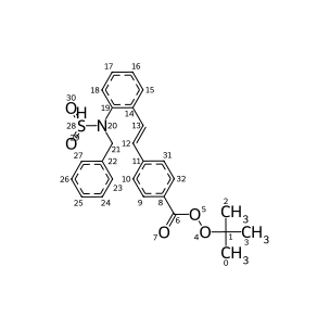 CC(C)(C)OOC(=O)c1ccc(C=Cc2ccccc2N(Cc2ccccc2)[SH](=O)=O)cc1